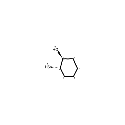 O[C@H]1CCCC[C@@H]1S